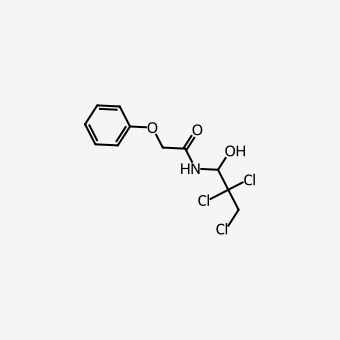 O=C(COc1ccccc1)NC(O)C(Cl)(Cl)CCl